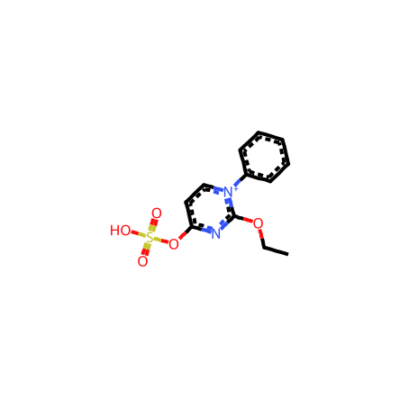 CCOc1nc(OS(=O)(=O)O)cc[n+]1-c1ccccc1